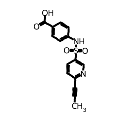 CC#Cc1ccc(S(=O)(=O)Nc2ccc(C(=O)O)cc2)cn1